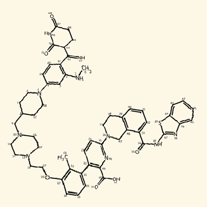 CNc1cc(N2CCC(CN3CCN(CCOc4cccc(-c5ccc(N6CCc7cccc(C(=O)Nc8nc9ccccc9s8)c7C6)nc5C(=O)O)c4C)CC3)CC2)ccc1C(=N)C1CCC(=O)NC1=O